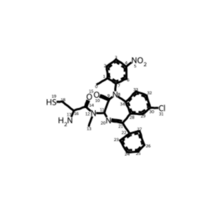 Cc1ccc([N+](=O)[O-])cc1N1C(=O)C(N(C)C(=O)C(N)CS)N=C(c2ccccc2)c2cc(Cl)ccc21